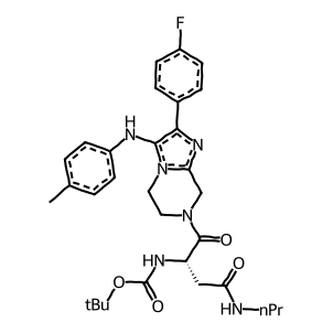 CCCNC(=O)C[C@H](NC(=O)OC(C)(C)C)C(=O)N1CCn2c(nc(-c3ccc(F)cc3)c2Nc2ccc(C)cc2)C1